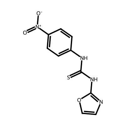 O=[N+]([O-])c1ccc(NC(=S)Nc2ncco2)cc1